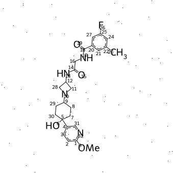 COc1ccc(C2(O)CCC(N3CC(NC(=O)CNC(=O)c4cc(C)cc(F)c4)C3)CC2)cn1